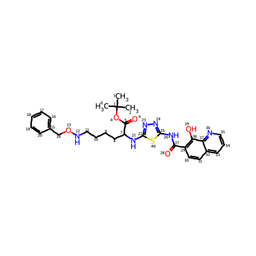 CC(C)(C)OC(=O)C(CCCCNOCc1ccccc1)Nc1nnc(NC(=O)c2ccc3cccnc3c2O)s1